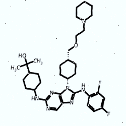 CC(C)(O)C1CCC(Nc2ncc3nc(Nc4ccc(F)cc4F)n([C@H]4CC[C@@H](COCCN5CCCCC5)CC4)c3n2)CC1